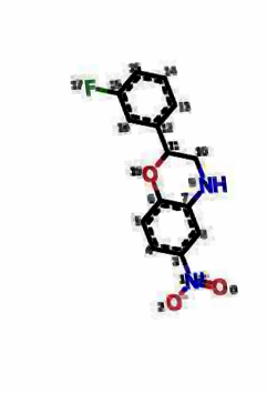 O=[N+]([O-])c1ccc2c(c1)NCC(c1cccc(F)c1)O2